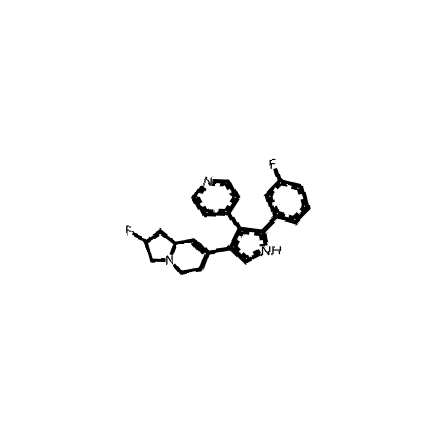 Fc1cccc(-c2[nH]cc(C3=CC4CC(F)CN4CC3)c2-c2ccncc2)c1